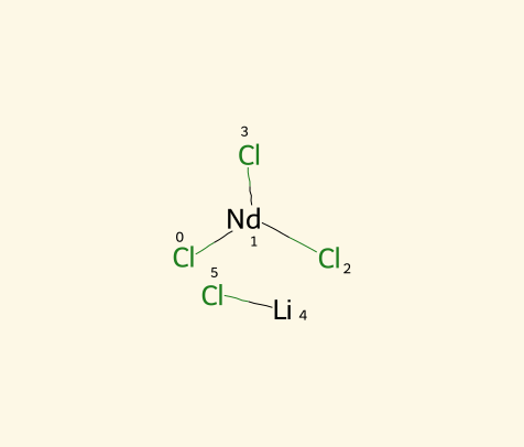 [Cl][Nd]([Cl])[Cl].[Li][Cl]